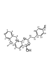 COc1ccccc1CN1C=CC=C(C(=O)O)C1SCCCc1ccc(F)cc1